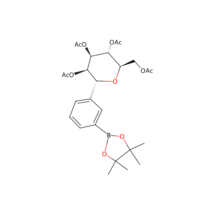 CC(=O)OC[C@H]1O[C@H](c2cccc(B3OC(C)(C)C(C)(C)O3)c2)[C@@H](OC(C)=O)[C@@H](OC(C)=O)[C@@H]1OC(C)=O